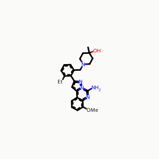 CCc1cccc(CN2CCC(C)(O)CC2)c1-c1cc2c3cccc(OC)c3nc(N)n2n1